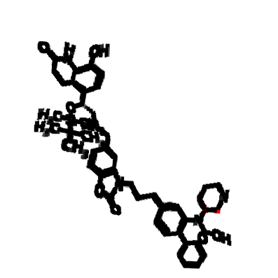 CC(C)(C)[Si](C)(C)O[C@@H](CNCc1ccc2oc(=O)n(CCCc3ccc(-c4ccccc4)c(N(C(=O)O)C4CN5CCC4CC5)c3)c2c1)c1ccc(O)c2[nH]c(=O)ccc12